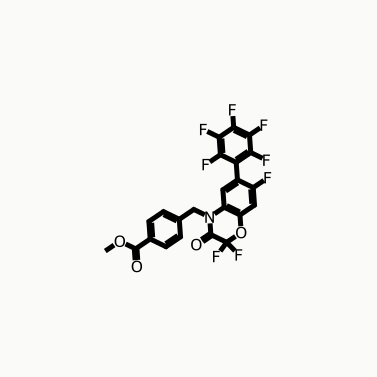 COC(=O)c1ccc(CN2C(=O)C(F)(F)Oc3cc(F)c(-c4c(F)c(F)c(F)c(F)c4F)cc32)cc1